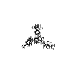 CC(C)(O)C(F)CNC(=O)c1cnc(-n2ccc3cc(C#N)cnc32)cc1Nc1ccc(C(N)=O)cc1